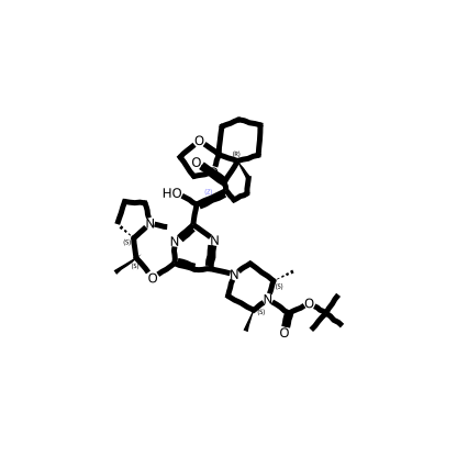 C[C@H](Oc1cc(N2C[C@H](C)N(C(=O)OC(C)(C)C)[C@@H](C)C2)nc(/C(O)=C2\CCC[C@@]3(CCCCC34OCCO4)C2=O)n1)[C@@H]1CCCN1C